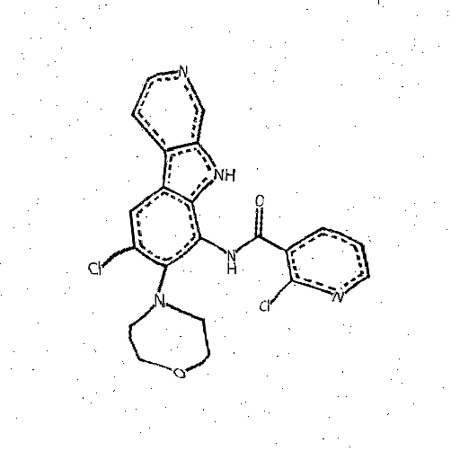 O=C(Nc1c(N2CCOCC2)c(Cl)cc2c1[nH]c1cnccc12)c1cccnc1Cl